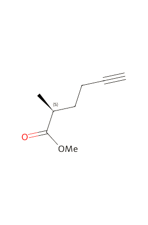 C#CCC[C@H](C)C(=O)OC